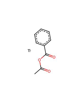 CC(=O)OC(=O)c1ccccc1.[Tl]